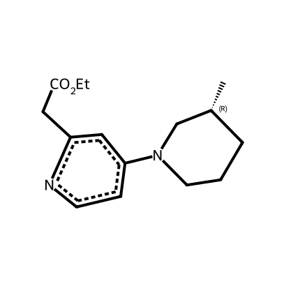 CCOC(=O)Cc1cc(N2CCC[C@@H](C)C2)ccn1